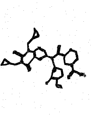 N#Cc1ccc(N(C(=O)C2CN(C(N)=O)CCO2)c2cnc3c(c2)c(=O)n(CC2CC2)c(=O)n3CC2CC2)cc1Cl